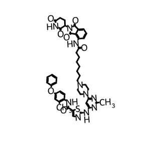 Cc1nc(Nc2ncc(C(=O)Nc3ccc(Oc4ccccc4)cc3C)s2)cc(N2CCN(CCCCCCCC(=O)Nc3cccc4c3C(=O)N(C3CCC(=O)NC3=O)C4=O)CC2)n1